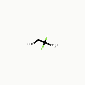 O=CCC(F)(F)C(=O)O